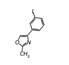 Cc1nc(-c2cccc(I)c2)co1